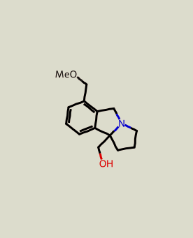 COCc1cccc2c1CN1CCCC21CO